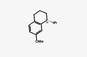 COc1ccc2c(c1)[C@@H](C(C)C)CCC2